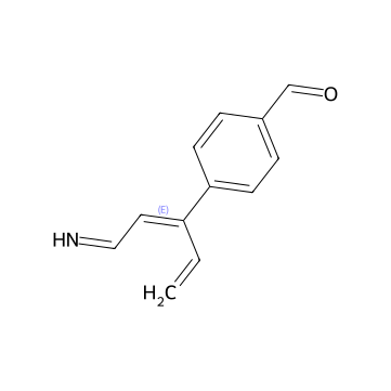 C=C/C(=C\C=N)c1ccc(C=O)cc1